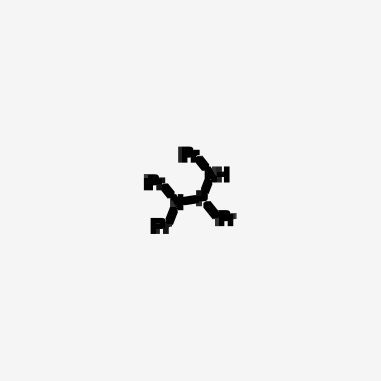 CC(C)NP(C(C)C)N(C(C)C)C(C)C